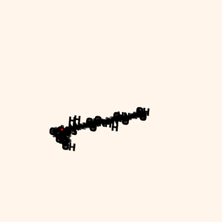 CC(=O)c1cc(NC(=S)NCCCCCN(O)C(=O)CCC(=O)NCCCCCNC(=O)CCC(=O)NCCCCCN(O)C(C)=O)ccc1-c1c2ccc(=O)cc-2oc2cc(O)ccc12